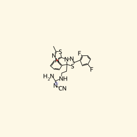 Cc1nnc(N2N=C(c3cc(F)ccc3F)SC2(CCN/C(N)=N\C#N)c2ccccc2)s1